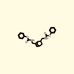 O=C(NCC1CC2CC(CNC(=O)Oc3ccccc3)C1C2)Oc1ccccc1